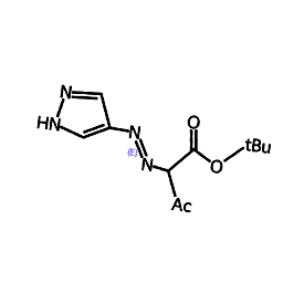 CC(=O)C(/N=N/c1cn[nH]c1)C(=O)OC(C)(C)C